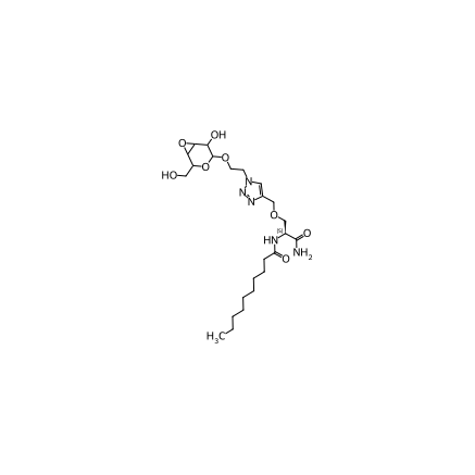 CCCCCCCCCC(=O)N[C@@H](COCc1cn(CCOC2OC(CO)C3OC3C2O)nn1)C(N)=O